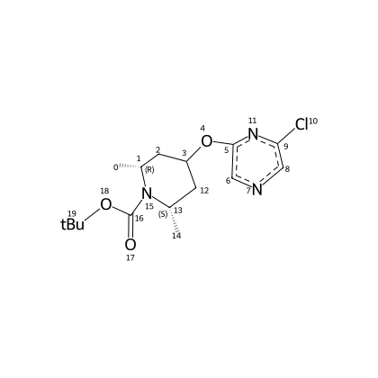 C[C@@H]1CC(Oc2cncc(Cl)n2)C[C@H](C)N1C(=O)OC(C)(C)C